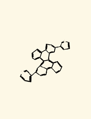 c1cncc(-c2ccc3c4ccccc4c4c5cc(-c6cccnc6)ccc5c5ccccc5c4c3c2)c1